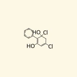 OC1=C(c2ccccc2)C(O)(Cl)CC(Cl)=C1